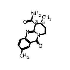 Cc1ccc2nc3n(c(=O)c2c1)CC[C@H](C)[C@@H]3C(N)=O